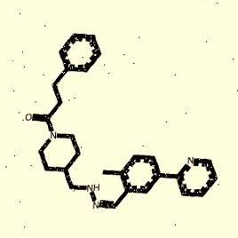 Cc1ccc(-c2ccccn2)cc1/C=N\NCC1CCN(C(=O)CCc2ccccc2)CC1